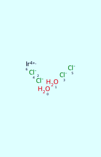 O.O.[Cl-].[Cl-].[Cl-].[Cl-].[Ir+4]